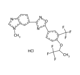 CC(Oc1ccc(-c2nc(-c3ccc4ncn(C)c4c3)no2)cc1C(F)(F)F)C(F)(F)F.Cl